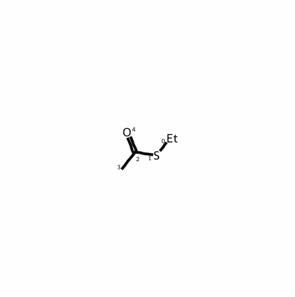 [CH2]CSC(C)=O